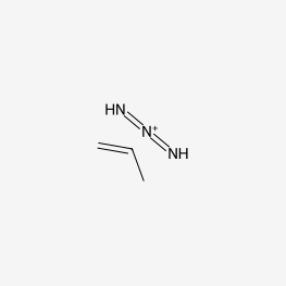 C=CC.N=[N+]=N